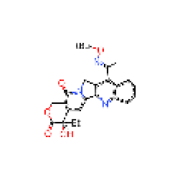 CC[C@@]1(O)C(=O)OCc2c1cc1n(c2=O)Cc2c-1nc1ccccc1c2C(C)=NOC(C)(C)C